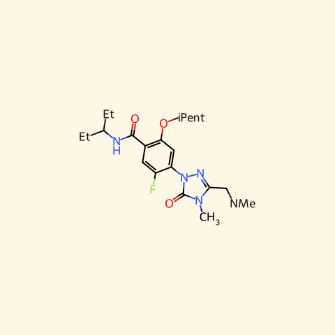 CCCC(C)Oc1cc(-n2nc(CNC)n(C)c2=O)c(F)cc1C(=O)NC(CC)CC